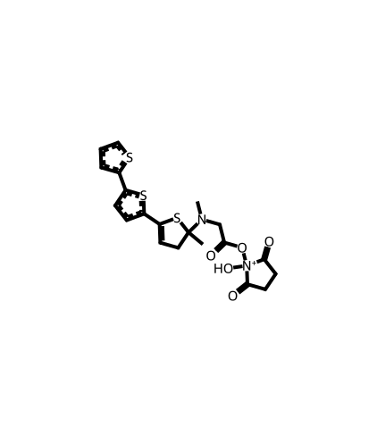 CN(CC(=O)O[N+]1(O)C(=O)CCC1=O)C1(C)CC=C(c2ccc(-c3cccs3)s2)S1